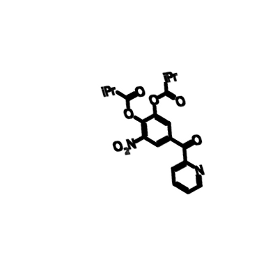 CC(C)C(=O)Oc1cc(C(=O)c2ccccn2)cc([N+](=O)[O-])c1OC(=O)C(C)C